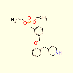 CCOP(=O)(Cc1cccc(COc2ccccc2CC2CCNCC2)c1)OCC